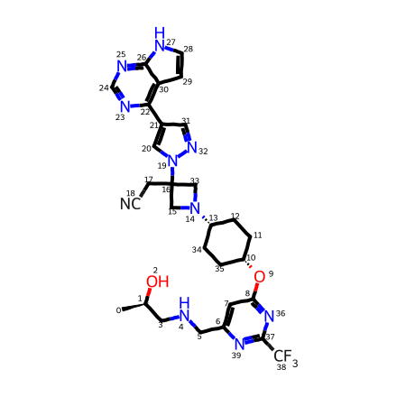 C[C@@H](O)CNCc1cc(O[C@H]2CC[C@@H](N3CC(CC#N)(n4cc(-c5ncnc6[nH]ccc56)cn4)C3)CC2)nc(C(F)(F)F)n1